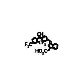 CN(c1ccc(Cn2cc(CC(=O)O)c3ccccc32)cc1)c1ccc(C(F)(F)F)cc1C(F)(F)F